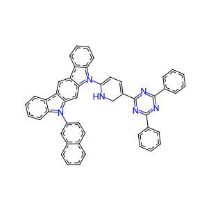 C1=C(c2nc(-c3ccccc3)nc(-c3ccccc3)n2)CNC(n2c3ccccc3c3cc4c5ccccc5n(-c5ccc6ccccc6c5)c4cc32)=C1